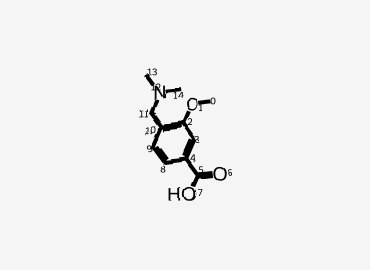 COc1cc(C(=O)O)ccc1CN(C)C